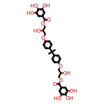 CC(C)(c1ccc(OCC(O)COC(=O)c2cc(O)c(O)c(O)c2)cc1)c1ccc(OCC(O)COC(=O)c2cc(O)c(O)c(O)c2)cc1